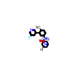 C[C@@H]1CC2C[C@H](C1)N2C(=O)Nc1ccc(C#N)c(-c2cncc(F)c2)c1